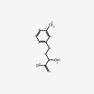 [CH]=C(Cl)C(O)CCc1cccc(C(F)(F)F)c1